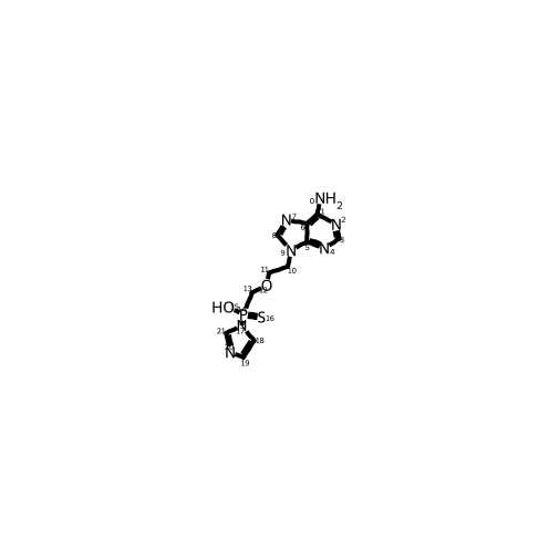 Nc1ncnc2c1ncn2CCOCP(O)(=S)n1ccnc1